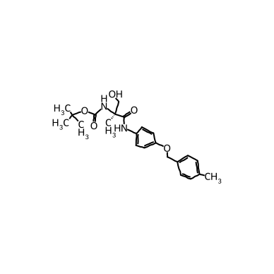 Cc1ccc(COc2ccc(NC(=O)[C@](C)(CO)NC(=O)OC(C)(C)C)cc2)cc1